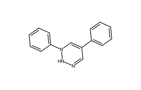 C1=NNN(c2ccccc2)C=C1c1ccccc1